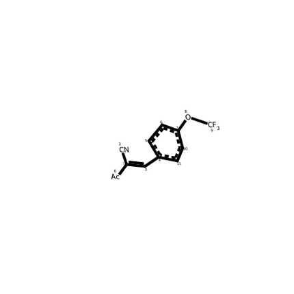 CC(=O)/C(C#N)=C/c1ccc(OC(F)(F)F)cc1